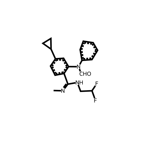 C/N=C(/NCC(F)F)c1ccc(C2CC2)cc1N(C=O)c1ccccc1